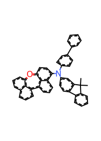 CC1(C)c2ccccc2-c2ccc(N(c3ccc(-c4ccccc4)cc3)c3ccc4oc5cccc6cccc(c7cccc3c47)c65)cc21